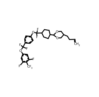 C=CCCC1COC(C2CCC(C(F)(F)Oc3ccc(C(F)(F)Oc4cc(F)c(C(F)(F)F)c(F)c4)cc3)CC2)OC1